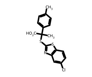 Cc1ccc(C(C)(Sc2nc3cc(Cl)ccc3s2)C(=O)O)cc1